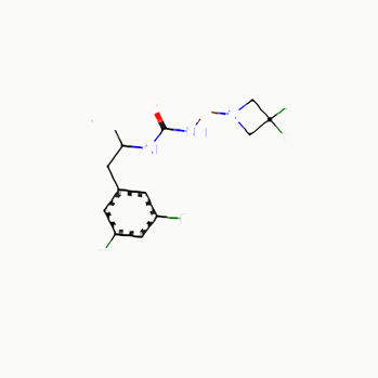 O=CC(Cc1cc(F)cc(F)c1)NC(=O)NSN1CC(F)(F)C1